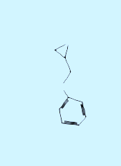 [TeH2].c1ccc(OCC2CO2)cc1